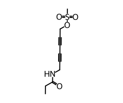 CCC(=O)NCC#CC#CCOS(C)(=O)=O